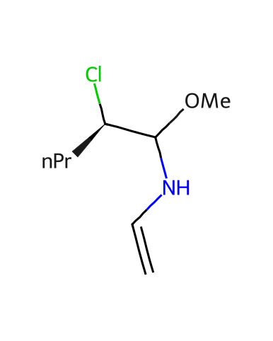 C=CNC(OC)[C@H](Cl)CCC